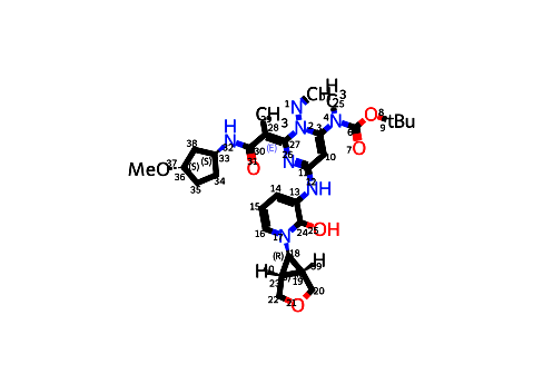 C=NN1C(N(C)C(=O)OC(C)(C)C)=CC(NC2=CC=CN([C@H]3[C@@H]4COC[C@@H]43)C2O)=N/C1=C(/C)C(=O)N[C@H]1CC[C@H](OC)C1